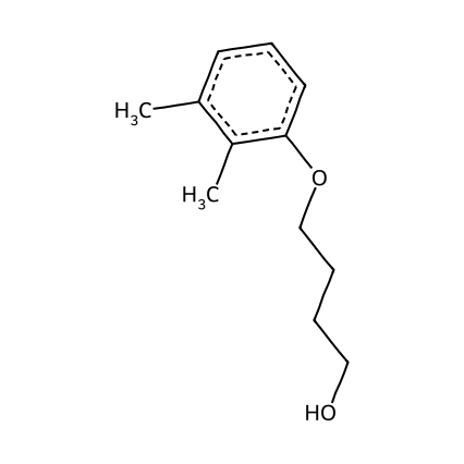 Cc1cccc(OCCCCO)c1C